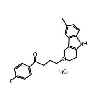 Cc1ccc2[nH]c3c(c2c1)CN(CCCC(=O)c1ccc(F)cc1)CC3.Cl